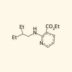 CCOC(=O)c1cccnc1NCC(CC)CC